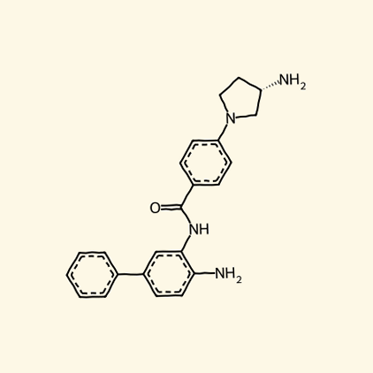 Nc1ccc(-c2ccccc2)cc1NC(=O)c1ccc(N2CC[C@H](N)C2)cc1